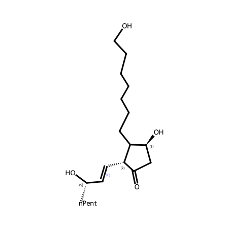 CCCCC[C@H](O)/C=C/[C@H]1C(=O)C[C@H](O)C1CCCCCCCO